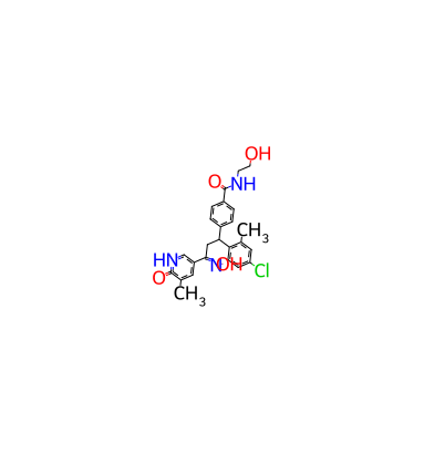 Cc1cc(Cl)ccc1C(C/C(=N\O)c1c[nH]c(=O)c(C)c1)c1ccc(C(=O)NCCO)cc1